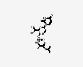 CC(C)OC(=O)[C@@H](C)N[PH](=O)OC[C@@H](O[C@H](CBr)n1ccc(=O)[nH]c1=O)[C@@H](O)Cl